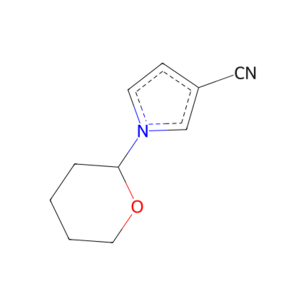 N#Cc1ccn(C2CCCCO2)c1